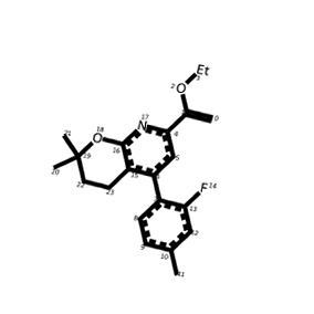 C=C(OCC)c1cc(-c2ccc(C)cc2F)c2c(n1)OC(C)(C)CC2